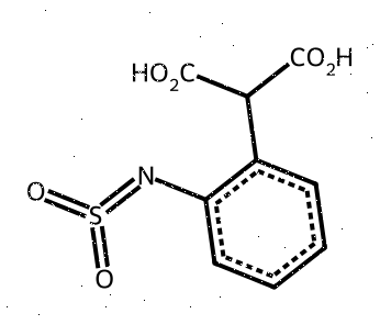 O=C(O)C(C(=O)O)c1ccccc1N=S(=O)=O